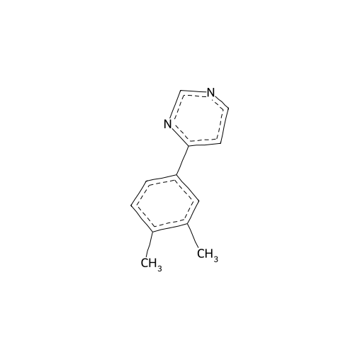 Cc1ccc(-c2ccncn2)cc1C